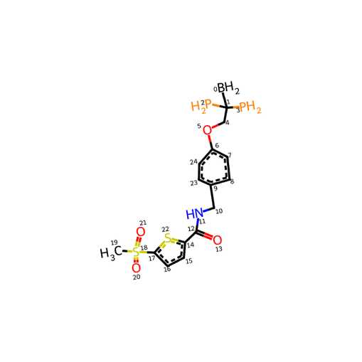 BC(P)(P)COc1ccc(CNC(=O)c2ccc(S(C)(=O)=O)s2)cc1